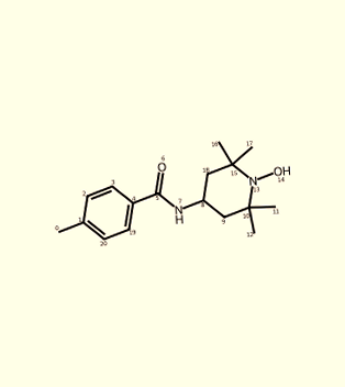 Cc1ccc(C(=O)NC2CC(C)(C)N(O)C(C)(C)C2)cc1